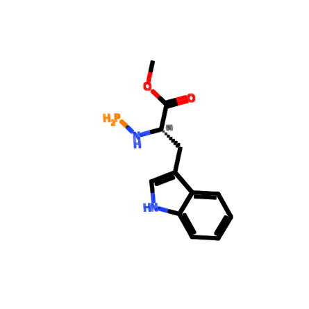 COC(=O)[C@H](Cc1c[nH]c2ccccc12)NP